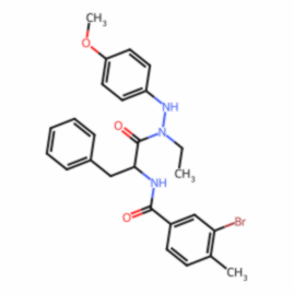 CCN(Nc1ccc(OC)cc1)C(=O)C(Cc1ccccc1)NC(=O)c1ccc(C)c(Br)c1